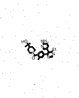 CCc1ncnc(-c2ccc(C(=O)N3CCC(C(C)(C)O)CC3)c(C)c2)c1-c1ccc(N)nc1